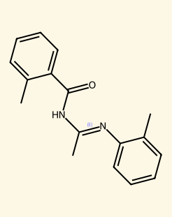 C/C(=N\c1ccccc1C)NC(=O)c1ccccc1C